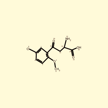 COc1ccc(Cl)cc1C(=O)CC(N)C(=O)O